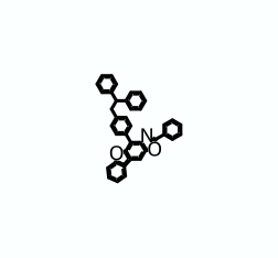 c1ccc(-c2nc3c(-c4ccc(CC(c5ccccc5)c5ccccc5)cc4)c4oc5ccccc5c4cc3o2)cc1